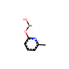 Cc1cccc(OBO)n1